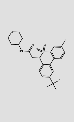 O=C(CN1c2ccc(C(F)(F)F)cc2-c2ccc(F)cc2S1(=O)=O)NC1CCOCC1